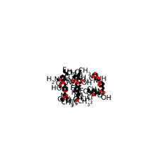 CC(=O)c1nc(-c2ccc(CC(CCO)c3c(C(N)=O)ccc(OC(C)CF)c3C#N)cc2)cn1C.CC(C)Oc1ccc(C(N)=O)c(C(CCO)Cc2c(F)c(F)c(-c3cn(C)c(C(C)(C)C)n3)c(F)c2F)c1C#N.CC1=CC=CC2NC(c3ccc(CC(CCO)NC(=O)c4ccc(OC(C)C)c(Cl)c4)cc3)=NC12